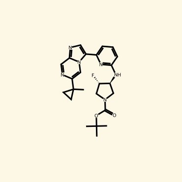 CC(C)(C)OC(=O)N1C[C@H](Nc2cccc(-c3cnc4cnc(C5(C)CC5)cn34)n2)[C@@H](F)C1